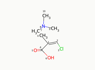 CC(=CCl)C(=O)O.CN(C)C